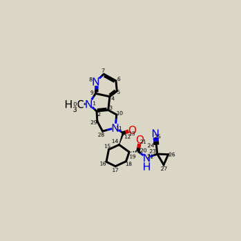 Cn1c2c(c3cccnc31)CN(C(=O)[C@@H]1CCCC[C@H]1C(=O)NC1(C#N)CC1)CC2